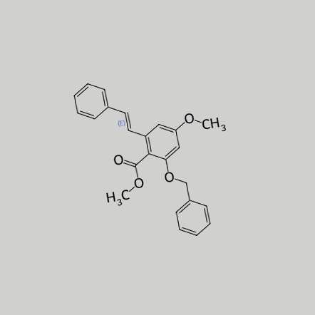 COC(=O)c1c(/C=C/c2ccccc2)cc(OC)cc1OCc1ccccc1